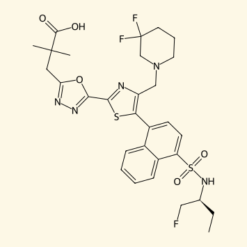 CC[C@@H](CF)NS(=O)(=O)c1ccc(-c2sc(-c3nnc(CC(C)(C)C(=O)O)o3)nc2CN2CCCC(F)(F)C2)c2ccccc12